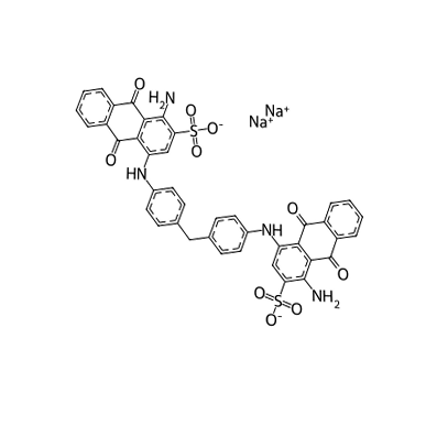 Nc1c(S(=O)(=O)[O-])cc(Nc2ccc(Cc3ccc(Nc4cc(S(=O)(=O)[O-])c(N)c5c4C(=O)c4ccccc4C5=O)cc3)cc2)c2c1C(=O)c1ccccc1C2=O.[Na+].[Na+]